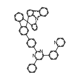 c1ccc(-c2cc(-c3cccc(-c4ccccn4)c3)nc(-c3ccc(-c4ccc5c(c4)C4(c6ccccc6-5)c5ccccc5-n5c6ccccc6c6cccc4c65)cc3)n2)cc1